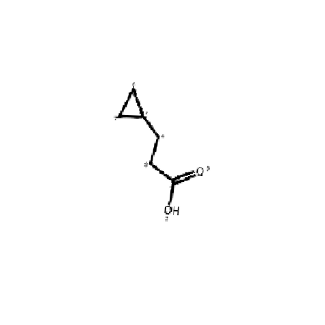 O=C(O)CCC1CC1